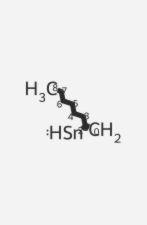 C=[C]([SnH])CCCCCC